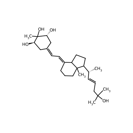 C[C@H](/C=C/CC(C)(C)O)C1CCC2/C(=C/C=C3C[C@@H](O)C(C)(O)[C@H](O)C3)CCCC21C